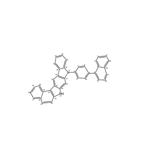 c1ccc2c(-c3ccc(-n4c5ccccc5c5cc6c(cc54)[nH]c4ccc5ccccc5c46)cc3)cccc2c1